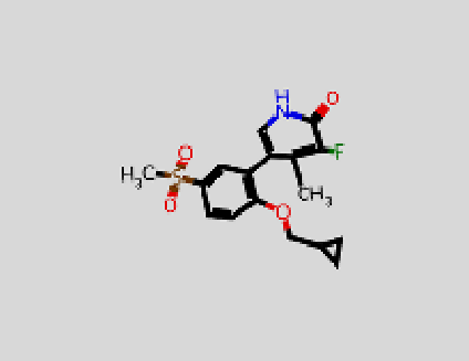 Cc1c(-c2cc(S(C)(=O)=O)ccc2OCC2CC2)c[nH]c(=O)c1F